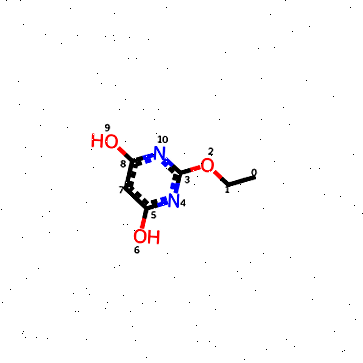 CCOc1nc(O)cc(O)n1